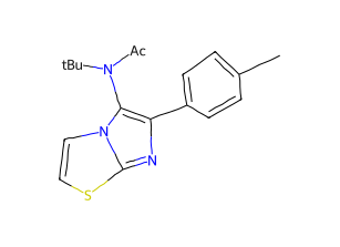 CC(=O)N(c1c(-c2ccc(C)cc2)nc2sccn12)C(C)(C)C